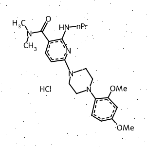 CCCNc1nc(N2CCN(c3ccc(OC)cc3OC)CC2)ccc1C(=O)N(C)C.Cl